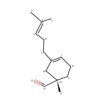 CC(C)=CCCC1=CCC[C@](C)(C=O)C1